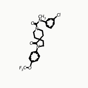 CN(C(=O)N1CCC2(CC1)CCN(c1ccc(OC(F)(F)F)cc1)C2=O)c1cccc(Cl)c1